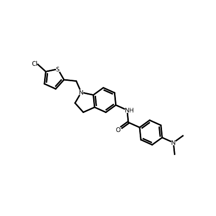 CN(C)c1ccc(C(=O)Nc2ccc3c(c2)CCN3Cc2ccc(Cl)s2)cc1